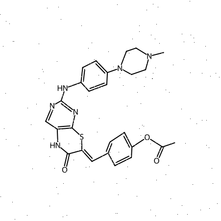 CC(=O)Oc1ccc(/C=C2\Sc3nc(Nc4ccc(N5CCN(C)CC5)cc4)ncc3NC2=O)cc1